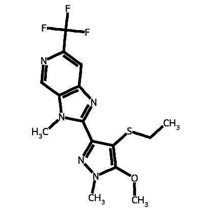 CCSc1c(-c2nc3cc(C(F)(F)F)ncc3n2C)nn(C)c1OC